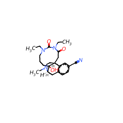 CCN1CCC[C@@]2(O)[C@H]3Cc4ccc(C#N)cc4[C@@]2(CCN3C)CC(=O)N(CC)C1=O